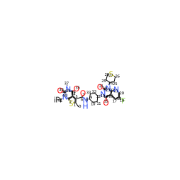 Cc1sc2c(c1C(=O)N[C@H]1CC[C@@H](n3c(=O)c4cc(F)cnc4n(C4CCSCC4)c3=O)CC1)c(=O)n(C)c(=O)n2C(C)C